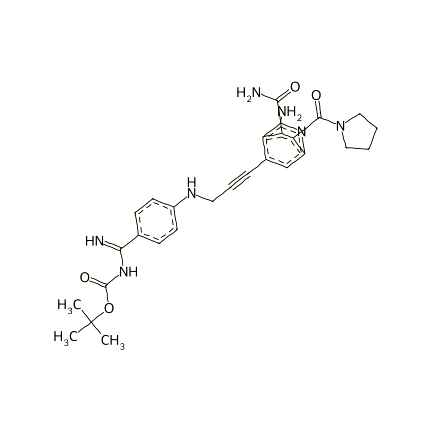 CC(C)(C)OC(=O)NC(=N)c1ccc(NCC#Cc2cc3nc(N)c2c(C(N)=O)c3C(=O)N2CCCC2)cc1